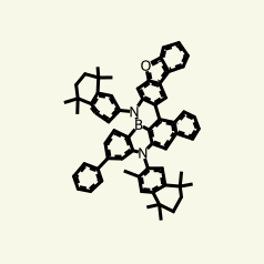 Cc1cc2c(cc1N1c3cc(-c4ccccc4)ccc3B3c4c1cc1ccccc1c4-c1cc4c(cc1N3c1ccc3c(c1)C(C)(C)CCC3(C)C)oc1ccccc14)C(C)(C)CCC2(C)C